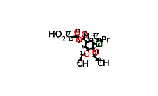 C#CCOc1cc(C(=O)OC(=O)CC(=O)O)cc(Cl)c1OCC#C.CCCC